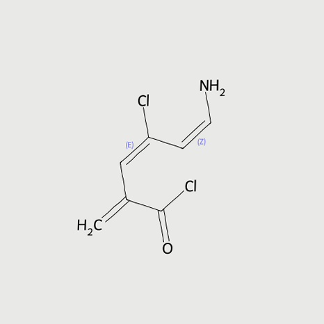 C=C(/C=C(Cl)\C=C/N)C(=O)Cl